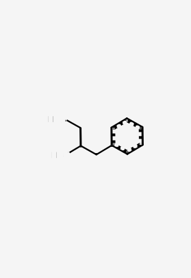 CC(C[SiH3])Cc1ccccc1